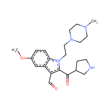 COc1ccc2c(c1)c(C=O)c(C(=O)C1CCNC1)n2CCN1CCN(C)CC1